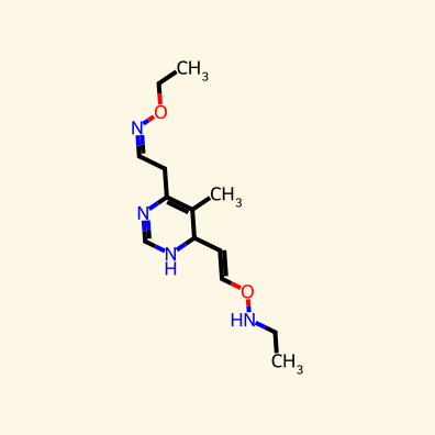 CCNO/C=C/C1NC=NC(C/C=N\OCC)=C1C